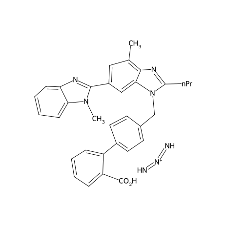 CCCc1nc2c(C)cc(-c3nc4ccccc4n3C)cc2n1Cc1ccc(-c2ccccc2C(=O)O)cc1.N=[N+]=N